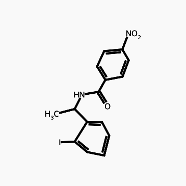 CC(NC(=O)c1ccc([N+](=O)[O-])cc1)c1ccccc1I